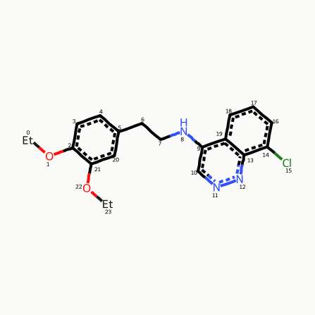 CCOc1ccc(CCNc2cnnc3c(Cl)cccc23)cc1OCC